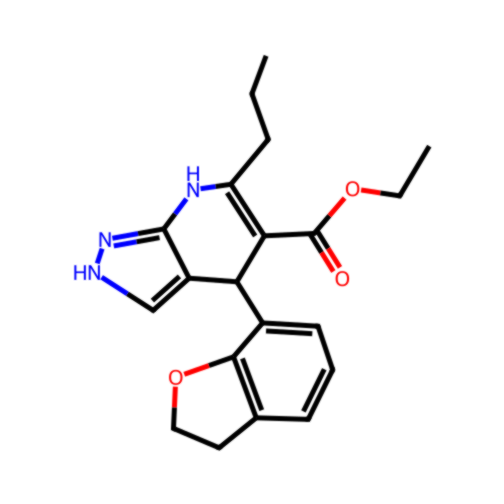 CCCC1=C(C(=O)OCC)C(c2cccc3c2OCC3)c2c[nH]nc2N1